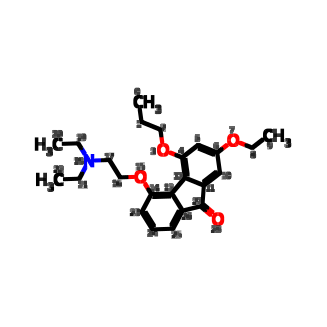 CCCOc1cc(OCC)cc2c1-c1c(OCCN(CC)CC)cccc1C2=O